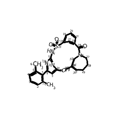 Cc1cccc(C)c1-c1cc2nc(n1)NS(=O)(=O)c1cccc(c1)C(=O)N1CCCC[C@H](C1)O2